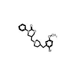 COc1ccc(Br)c(CC2CCN(CC3COC(=O)N(c4ccccc4)C3)CC2)c1